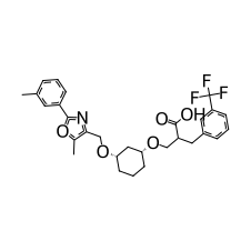 Cc1cccc(-c2nc(CO[C@H]3CCC[C@@H](OCC(Cc4cccc(C(F)(F)F)c4)C(=O)O)C3)c(C)o2)c1